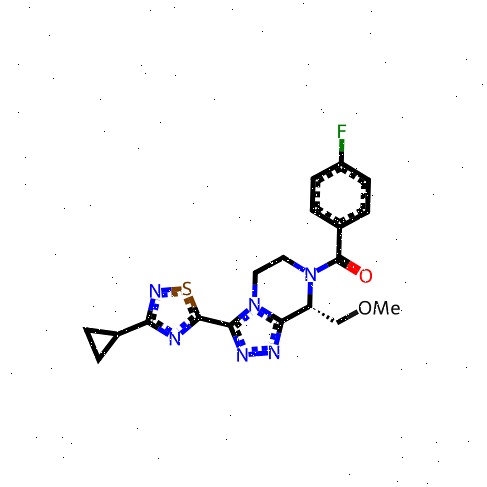 COC[C@@H]1c2nnc(-c3nc(C4CC4)ns3)n2CCN1C(=O)c1ccc(F)cc1